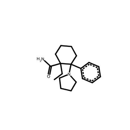 CCC1(C(N)=O)CCCCC1(c1ccccc1)N1CCCC1